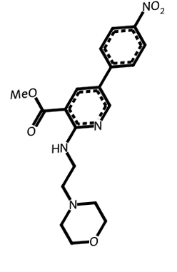 COC(=O)c1cc(-c2ccc([N+](=O)[O-])cc2)cnc1NCCN1CCOCC1